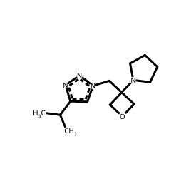 CC(C)c1cn(CC2(N3CCCC3)COC2)nn1